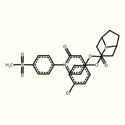 CS(=O)(=O)c1ccc(-n2ccc(OC3CC4CCC(C3)N4C(=O)Oc3ccc(Cl)cc3)cc2=O)cc1